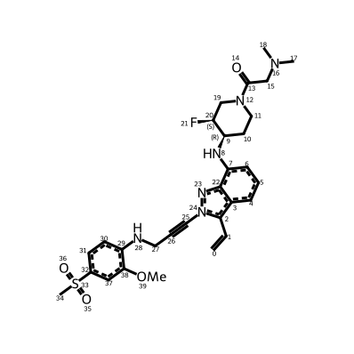 C=Cc1c2cccc(N[C@@H]3CCN(C(=O)CN(C)C)C[C@@H]3F)c2nn1C#CCNc1ccc(S(C)(=O)=O)cc1OC